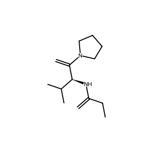 C=C(CC)N[C@H](C(=C)N1CCCC1)C(C)C